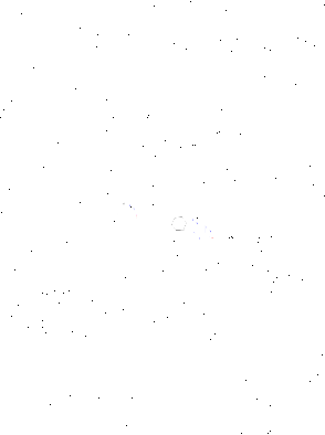 CN(CC(=O)O)C(=O)CCCOc1ccc2c(c1)CN1CC(=O)NC1=N2